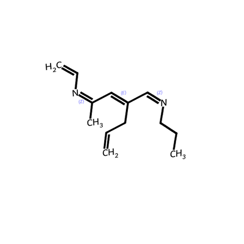 C=CCC(/C=N\CCC)=C\C(C)=N/C=C